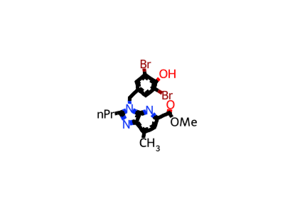 CCCc1nc2c(C)cc(C(=O)OC)nc2n1Cc1cc(Br)c(O)c(Br)c1